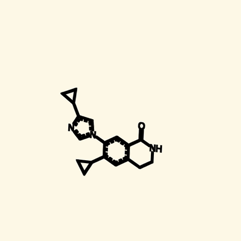 O=C1NCCc2cc(C3CC3)c(-n3cnc(C4CC4)c3)cc21